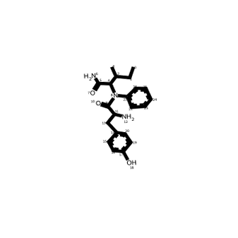 CCC(C)C(C(N)=O)N(C(=O)C(N)Cc1ccc(O)cc1)c1ccccc1